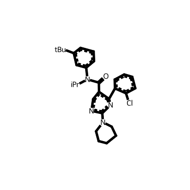 CC(C)N(C(=O)c1cnc(N2CCCCC2)nc1-c1ccccc1Cl)c1cccc(C(C)(C)C)c1